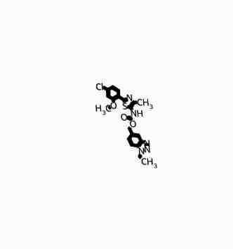 CCn1nnc2cc(COC(=O)Nc3sc(-c4ccc(Cl)cc4OC)nc3C)ccc21